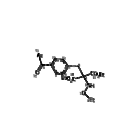 CCONC(Cc1ccc(C(=O)C(C)=O)cc1)(C(=O)OCC)C(=O)OCC